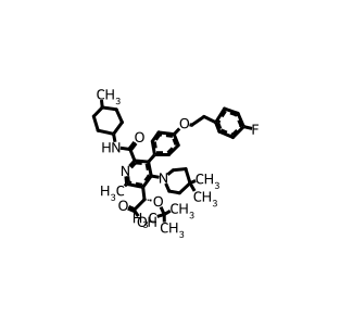 Cc1nc(C(=O)NC2CCC(C)CC2)c(-c2ccc(OCCc3ccc(F)cc3)cc2)c(N2CCC(C)(C)CC2)c1[C@H](OC(C)(C)C)C(=O)O